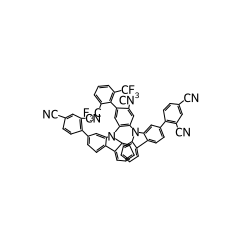 N#Cc1ccc(-c2ccc3c4ccccc4n(-c4cc(C#N)c(-c5c(C(F)(F)F)cccc5C(F)(F)F)cc4-n4c5ccccc5c5ccc(-c6ccc(C#N)cc6C#N)cc54)c3c2)c(C#N)c1